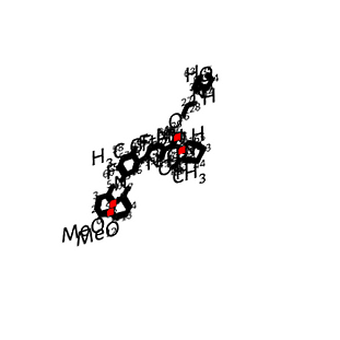 COc1ccc(CN(Cc2ccc(OC)cc2)c2cc(-c3nc4c5c(nc(OCCCN6C[C@H]7C[C@@H]6CO7)nc5c3F)N3C[C@H]5CC[C@@H]([C@H]3[C@H](C)O4)N5C(=O)OC(C)(C)C)c(C(F)(F)F)c(C)c2F)cc1